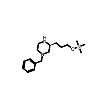 C[Si](C)(C)OCCC[C@H]1CN(Cc2ccccc2)CCN1